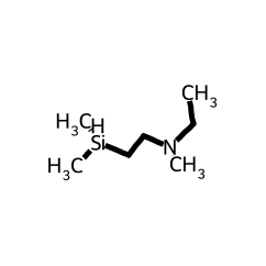 CCN(C)CC[SiH](C)C